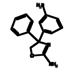 Bc1cccc(C2(c3ccccc3)COC(N)=N2)c1